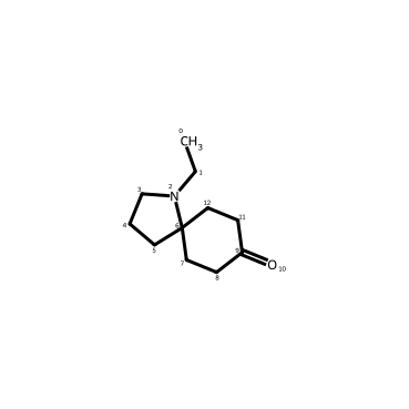 CCN1CCCC12CCC(=O)CC2